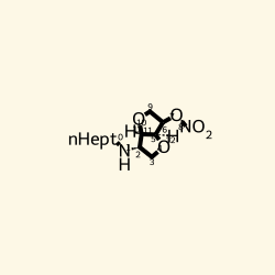 CCCCCCCN[C@H]1CO[C@@H]2C(O[N+](=O)[O-])CO[C@H]12